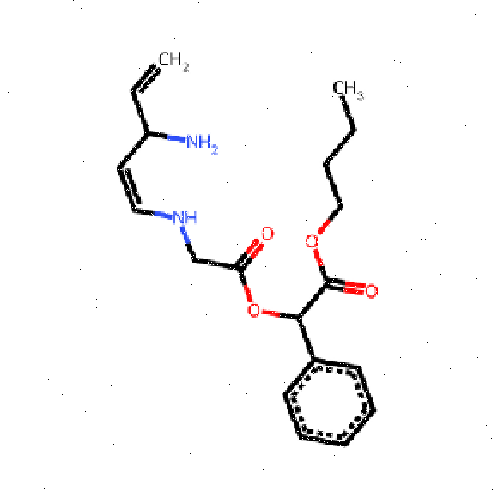 C=CC(N)/C=C\NCC(=O)OC(C(=O)OCCCC)c1ccccc1